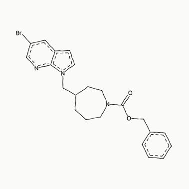 O=C(OCc1ccccc1)N1CCCC(Cn2ccc3cc(Br)cnc32)CC1